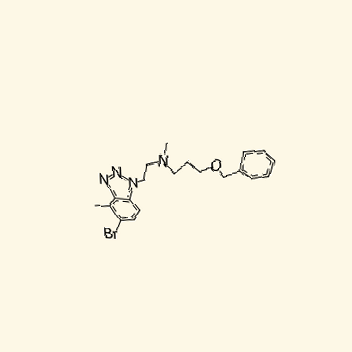 Cc1c(Br)ccc2c1nnn2CCN(C)CCCOCc1ccccc1